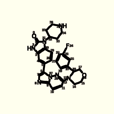 O=c1[nH]c2cc(-c3cnc4ccc(N5CCOCC5c5cccc(F)c5)nn34)ccc2n1C1CCNCC1